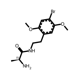 COc1cc(CCNC(=O)[C@H](C)N)c(OC)cc1Br